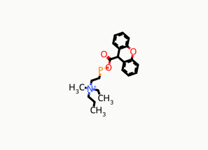 CCC[N+](C)(CC)CC[P-]OC(=O)C1c2ccccc2Oc2ccccc21